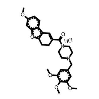 COc1ccc2c3c(oc2c1)CCC(C(=O)N1CCN(Cc2cc(OC)c(OC)c(OC)c2)CC1)=C3.Cl